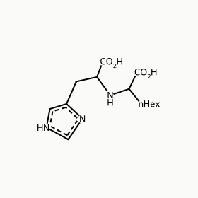 CCCCCCC(NC(Cc1c[nH]cn1)C(=O)O)C(=O)O